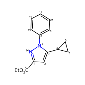 CCOC(=O)c1cc(C2CC2)n(-c2ccccc2)n1